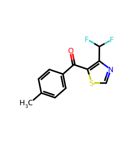 Cc1ccc(C(=O)c2scnc2C(F)F)cc1